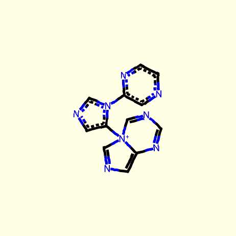 C1=NC=NC2=CN=C[N+]12c1cncn1-c1cnccn1